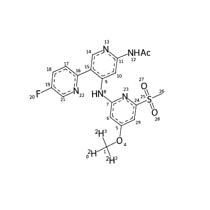 [2H]C([2H])([2H])Oc1cc(Nc2cc(NC(C)=O)ncc2-c2ccc(F)cn2)nc(S(C)(=O)=O)c1